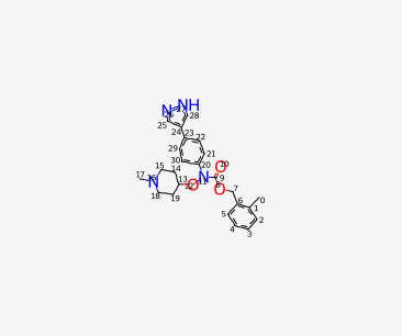 Cc1ccccc1COC(=O)N(OC1CCN(C)CC1)c1ccc(-c2cn[nH]c2)cc1